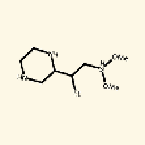 CCC(C[SiH](OC)OC)C1CNCCN1